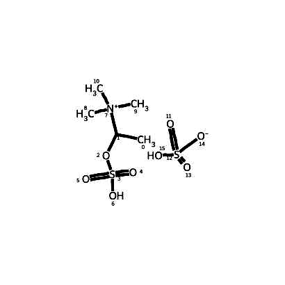 CC(OS(=O)(=O)O)[N+](C)(C)C.O=S(=O)([O-])O